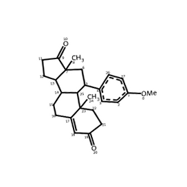 COc1ccc(C2CC3(C)C(=O)CCC3C3CCC4=CC(=O)CCC4(C)C23)cc1